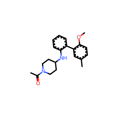 COc1ccc(C)cc1-c1ccccc1NC1CCN(C(C)=O)CC1